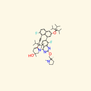 CC(C)[Si](C#Cc1c(F)ccc2cc(O[Si](C(C)C)(C(C)C)C(C)C)cc(-c3ccc4c(N5CCCC(C)(O)C5)nc(OC[C@@]5(C)CCCN5C)nc4c3F)c12)(C(C)C)C(C)C